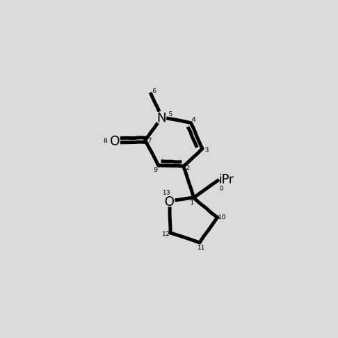 CC(C)C1(c2ccn(C)c(=O)c2)CCCO1